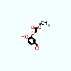 CCOC(=O)COc1cc(C=O)ccc1O